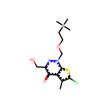 Cc1c(Cl)sc2c1c(=O)c(CO)nn2COCC[Si](C)(C)C